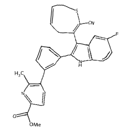 COC(=O)c1ccc(-c2cccc(-c3[nH]c4ccc(F)cc4c3C3=C(C#N)SCC=CC3)c2)c(C)n1